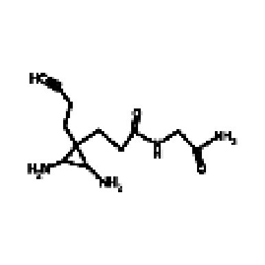 C#CCCC1(CCC(=O)NCC(N)=O)C(N)C1N